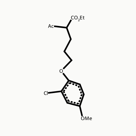 CCOC(=O)C(CCCOc1ccc(OC)cc1Cl)C(C)=O